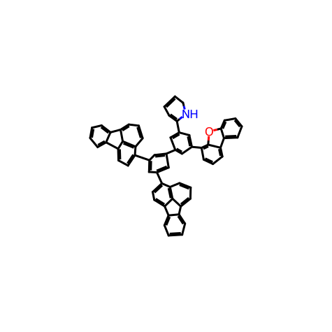 C1=CCNC(c2cc(-c3cc(-c4ccc5c6c(cccc46)-c4ccccc4-5)cc(-c4ccc5c6c(cccc46)-c4ccccc4-5)c3)cc(-c3cccc4c3oc3ccccc34)c2)=C1